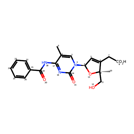 Cc1cn([C@H]2C=C(CC(=O)O)[C@@](C)(CO)O2)c(=O)nc1NC(=O)c1ccccc1